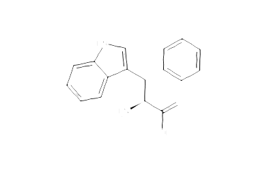 N[C@H](C(=O)O)[C@@H](c1ccccc1)c1c[nH]c2ccccc12